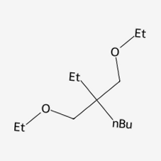 CCCCC(CC)(COCC)COCC